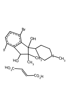 CN1CCC(C2(O)c3c(Br)ccc(F)c3C(O)C2(C)C)CC1.O=C(O)C=CC(=O)O